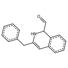 O=CC1NC(Cc2ccccc2)=Cc2ccccc21